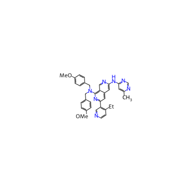 CCc1ccncc1-c1cc2cc(Nc3cc(C)ncn3)ncc2c(N(Cc2ccc(OC)cc2)Cc2ccc(OC)cc2)n1